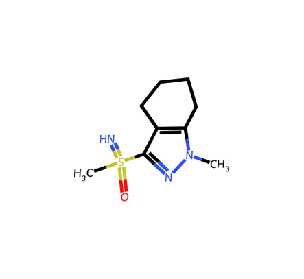 Cn1nc(S(C)(=N)=O)c2c1CCCC2